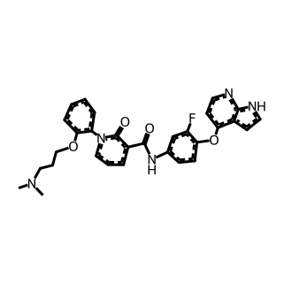 CN(C)CCCOc1ccccc1-n1cccc(C(=O)Nc2ccc(Oc3ccnc4[nH]ccc34)c(F)c2)c1=O